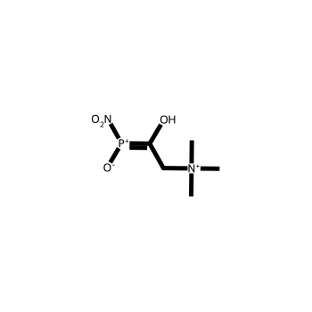 C[N+](C)(C)C/C(O)=[P+](\[O-])[N+](=O)[O-]